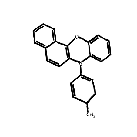 CC1C=CC(N2c3ccccc3Oc3c2ccc2ccccc32)=CC1